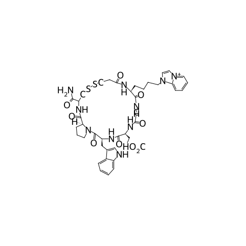 NC(=O)C1CSSCCC(=O)N[C@@H](CCCCn2cc[n+]3ccccc23)C(=O)NCC(=O)N[C@@H](CC(=O)O)C(=O)N[C@@H](Cc2c[nH]c3ccccc23)C(=O)N2CCC[C@H]2C(=O)N1